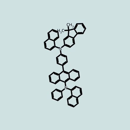 CC1(C)c2ccccc2-c2ccc(N(c3ccc(-c4c5ccccc5c(N(c5ccccc5)c5cccc6ccccc56)c5ccccc45)cc3)c3cccc4ccccc34)cc21